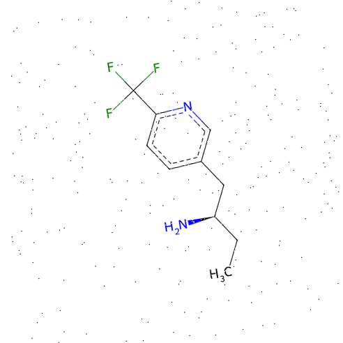 CC[C@@H](N)Cc1ccc(C(F)(F)F)nc1